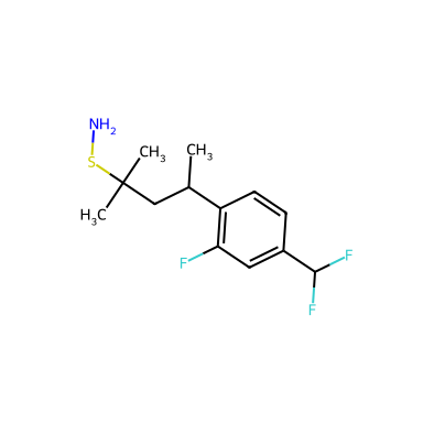 CC(CC(C)(C)SN)c1ccc(C(F)F)cc1F